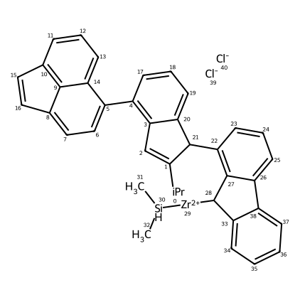 CC(C)C1=Cc2c(-c3ccc4c5c(cccc35)C=C4)cccc2C1c1cccc2c1[CH]([Zr+2][SiH](C)C)c1ccccc1-2.[Cl-].[Cl-]